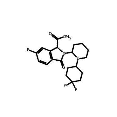 NC(=O)C1c2cc(F)ccc2C(=O)N1C1CCCCN1C1CCC(F)(F)CC1